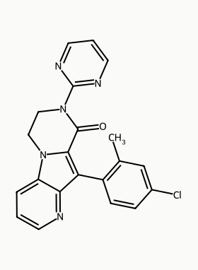 Cc1cc(Cl)ccc1-c1c2n(c3cccnc13)CCN(c1ncccn1)C2=O